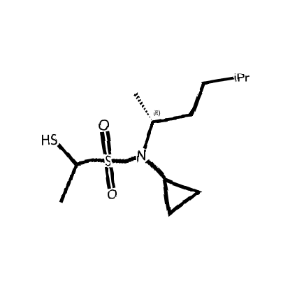 CC(C)CC[C@@H](C)N(C1CC1)S(=O)(=O)C(C)S